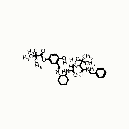 CC(C)(C)C(=O)Oc1ccc(O)c(/C=N/[C@H]2CCCCC2NC(=O)N[C@@H](C(=O)NCc2ccccc2)C(C)(C)C)c1